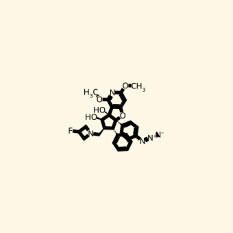 COc1cc2c(c(OC)n1)[C@]1(O)[C@H](O)[C@H](CN3CC(F)C3)[C@@H](c3ccccc3)[C@]1(c1ccc(N=[N+]=[N-])cc1)O2